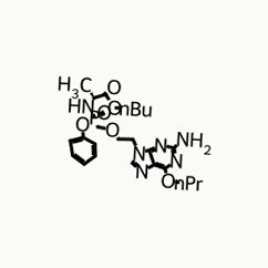 CCCCOC(=O)[C@H](C)NP(=O)(COCCn1cnc2c(OCCC)nc(N)nc21)Oc1ccccc1